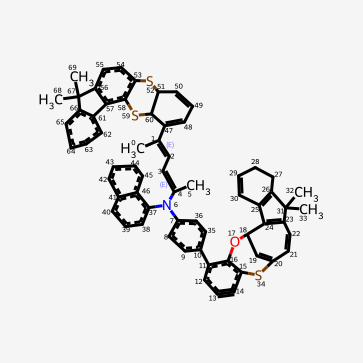 C/C(=C\C=C(/C)N(c1ccc(-c2cc#cc3c2OC2C=C(C=CC4=C2C2=C(CCC=C2)C4(C)C)S3)cc1)c1cccc2ccccc12)C1=CC=CC2Sc3ccc4c(c3SC12)-c1ccccc1C4(C)C